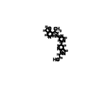 CC(CNc1cc(-c2cnc3c(cnn3CCO)c2)ncn1)c1cncc2c1OCC2